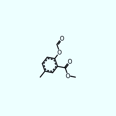 COC(=O)c1cc(C)ccc1OC=O